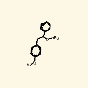 CCCCO[C](Cc1ccc(OCC)cc1)c1ccccc1